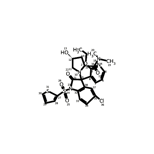 CCOc1ncccc1C1(N2C[C@H](O)C[C@H]2C(=O)N(C)C)C(=O)N(S(=O)(=O)c2cccs2)c2ccc(Cl)cc21